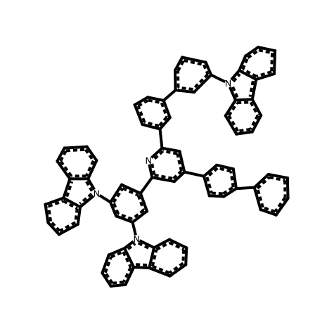 c1ccc(-c2ccc(-c3cc(-c4cccc(-c5cccc(-n6c7ccccc7c7ccccc76)c5)c4)nc(-c4cc(-n5c6ccccc6c6ccccc65)cc(-n5c6ccccc6c6ccccc65)c4)c3)cc2)cc1